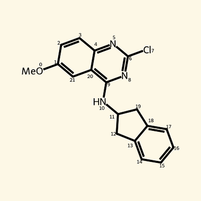 COc1ccc2nc(Cl)nc(NC3Cc4ccccc4C3)c2c1